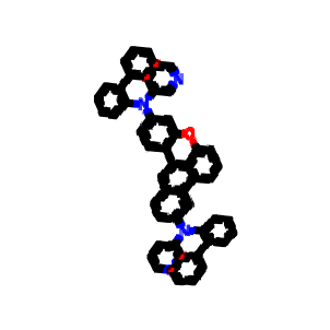 c1ccc(-c2ccccc2N(c2cccnc2)c2ccc3c(c2)Oc2cccc4c2c-3cc2ccc(N(c3cccnc3)c3ccccc3-c3ccccc3)cc24)cc1